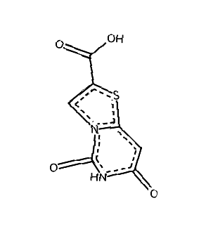 O=C(O)c1cn2c(=O)[nH]c(=O)cc2s1